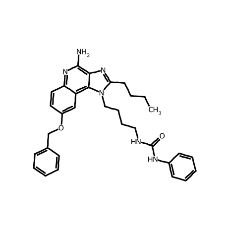 CCCCc1nc2c(N)nc3ccc(OCc4ccccc4)cc3c2n1CCCCNC(=O)Nc1ccccc1